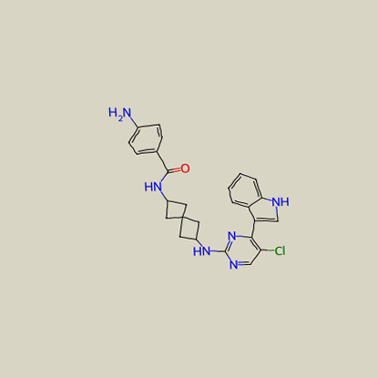 Nc1ccc(C(=O)NC2CC3(C2)CC(Nc2ncc(Cl)c(-c4c[nH]c5ccccc45)n2)C3)cc1